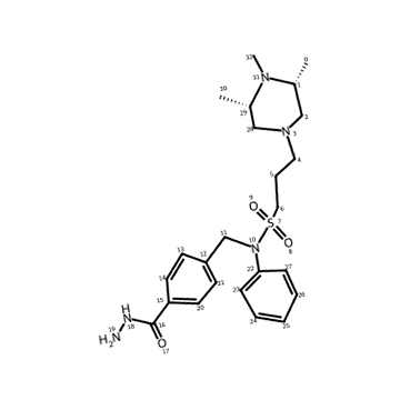 C[C@@H]1CN(CCCS(=O)(=O)N(Cc2ccc(C(=O)NN)cc2)c2ccccc2)C[C@H](C)N1C